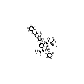 CC(N)C(=O)c1ncc(C(=O)CC(O)C[C@H](N)Cc2ccccc2)c(CNC(=O)C(N)C(C)C)c1C(=O)OCc1ccccc1